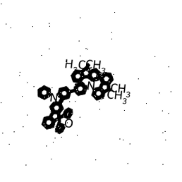 CC1(C)c2ccccc2-c2c(N(c3ccc(-c4ccc5c(c4)c4cc6c(cc4n5-c4ccccc4)-c4ccccc4C64c5ccccc5Oc5ccccc54)cc3)c3cccc4c3-c3ccccc3C4(C)C)cccc21